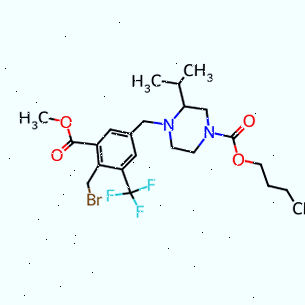 CCCCOC(=O)N1CCN(Cc2cc(C(=O)OC)c(CBr)c(C(F)(F)F)c2)C(C(C)C)C1